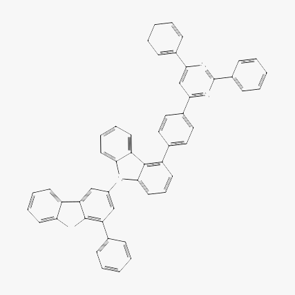 C1=CC(c2cc(-c3ccc(-c4cccc5c4c4ccccc4n5-c4cc(-c5ccccc5)c5sc6ccccc6c5c4)cc3)nc(-c3ccccc3)n2)=CCC1